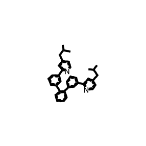 CC(C)Cc1ccnc(-c2cccc(-c3ccccc3-c3cccc(-c4cc(CC(C)C)ccn4)c3)c2)c1